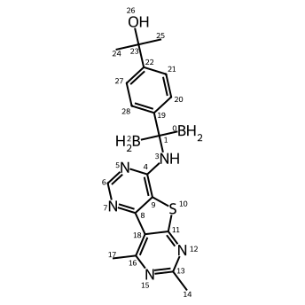 BC(B)(Nc1ncnc2c1sc1nc(C)nc(C)c12)c1ccc(C(C)(C)O)cc1